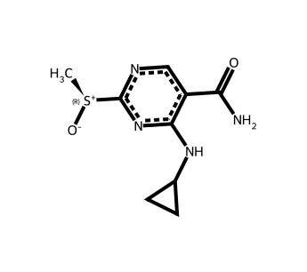 C[S@+]([O-])c1ncc(C(N)=O)c(NC2CC2)n1